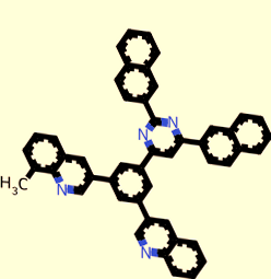 Cc1cccc2cc(-c3cc(-c4cnc5ccccc5c4)cc(-c4cc(-c5ccc6ccccc6c5)nc(-c5ccc6ccccc6c5)n4)c3)cnc12